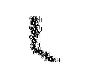 COc1c(NC(=O)c2ccc(NC(=O)c3ccc(NC(=O)[C@H](C)NC(=O)c4ccc(NC(=O)/C(C)=C(\C)c5ccc(O)cc5)cc4)cc3)c(OC)c2O)ccc(C(=O)O)c1O